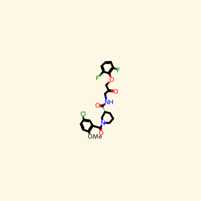 COc1ccc(Cl)cc1C(=O)N1CCC[C@@H](C(=O)NCC(=O)COc2c(F)cccc2F)C1